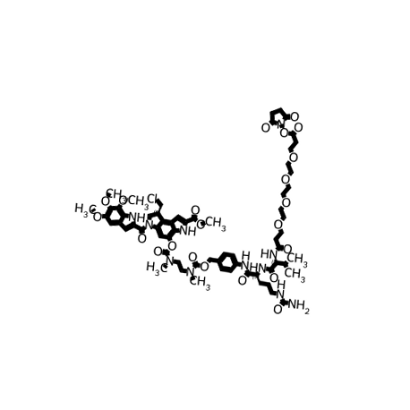 COC(=O)c1cc2c3c(cc(OC(=O)N(C)CCN(C)C(=O)OCc4ccc(NC(=O)[C@H](CCCNC(N)=O)NC(=O)[C@@H](NC(=O)CCOCCOCCOCCOCCC(=O)ON5C(=O)CCC5=O)C(C)C)cc4)c2[nH]1)N(C(=O)c1cc2cc(OC)c(OC)c(OC)c2[nH]1)C[C@H]3CCl